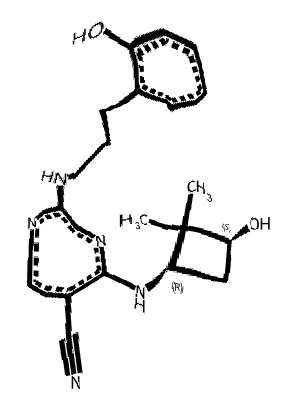 CC1(C)[C@@H](O)C[C@H]1Nc1nc(NCCc2ccccc2O)ncc1C#N